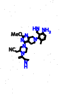 C=C(C1CN1)N1CCN(c2nc(OC)nc3c2CCN(c2c(C)ccc(N)c2C=N)C3)CC1CC#N